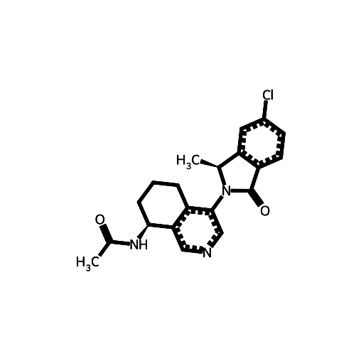 CC(=O)N[C@H]1CCCc2c1cncc2N1C(=O)c2ccc(Cl)cc2[C@@H]1C